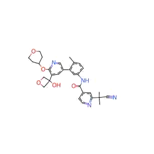 Cc1ccc(NC(=O)c2ccnc(C(C)(C)C#N)c2)cc1-c1cnc(OC2CCOCC2)c(C2(O)COC2)c1